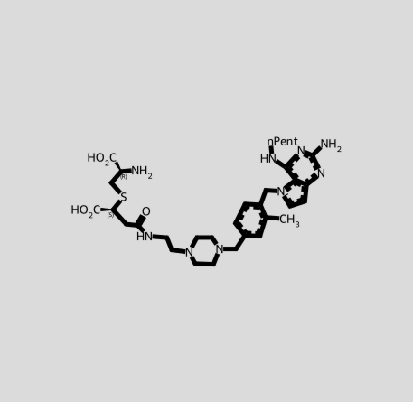 CCCCCNc1nc(N)nc2ccn(Cc3ccc(CN4CCN(CCNC(=O)C[C@H](SC[C@H](N)C(=O)O)C(=O)O)CC4)cc3C)c12